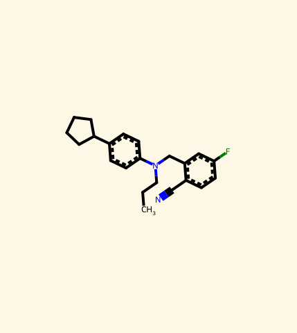 CCCN(Cc1cc(F)ccc1C#N)c1ccc(C2CCCC2)cc1